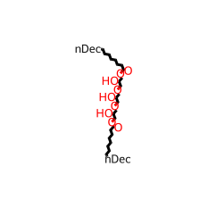 CCCCCCCCCCCCCCCCCC(=O)OCC(O)COCC(O)COCC(O)COC(=O)CCCCCCCCCCCCCCCCC